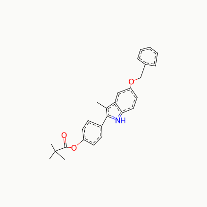 Cc1c(-c2ccc(OC(=O)C(C)(C)C)cc2)[nH]c2ccc(OCc3ccccc3)cc12